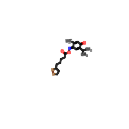 CC1=CC(=O)C(C(C)C)=C/C1=N\OC(=O)CCCCC1CCSS1